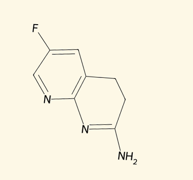 NC1=Nc2ncc(F)cc2CC1